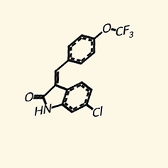 O=C1Nc2cc(Cl)ccc2C1=Cc1ccc(OC(F)(F)F)cc1